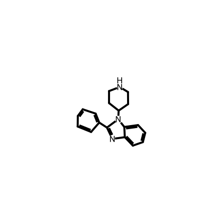 c1ccc(-c2nc3ccccc3n2C2CCNCC2)cc1